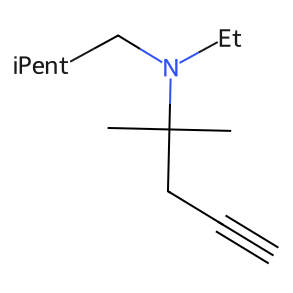 C#CCC(C)(C)N(CC)CC(C)CCC